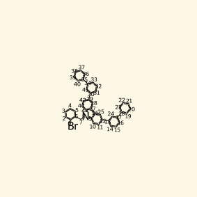 Brc1ccccc1Cn1c2ccc(-c3cccc(-c4ccccc4)c3)cc2c2cc(-c3cccc(-c4ccccc4)c3)ccc21